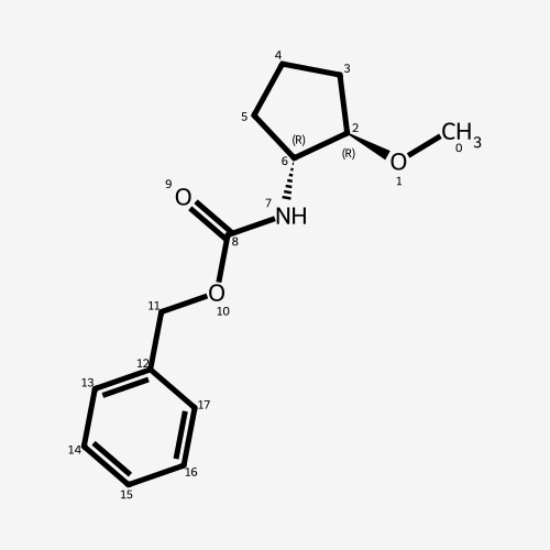 CO[C@@H]1CCC[C@H]1NC(=O)OCc1ccccc1